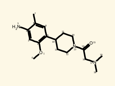 COc1cc(N)c(C)cc1C1CCN(C(=O)CN(C)C)CC1